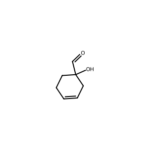 O=CC1(O)CC=CCC1